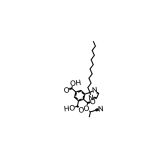 CCCCCCCCCCCC1(c2cc(C(=O)O)cc(C(=O)O)c2C(=O)OC(C)C#N)N=CC=N1